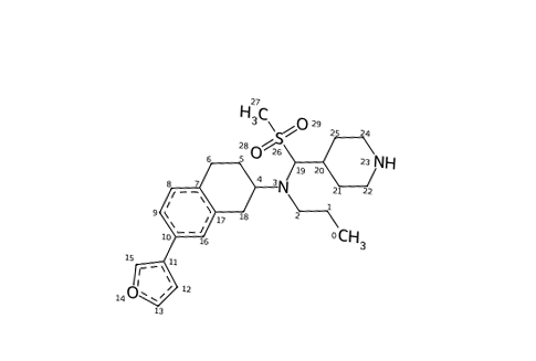 CCCN(C1CCc2ccc(-c3ccoc3)cc2C1)C(C1CCNCC1)S(C)(=O)=O